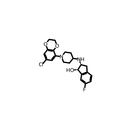 O[C@@H]1c2cc(F)ccc2C[C@@H]1NC1CCN(c2cc(Cl)cc3c2OCCO3)CC1